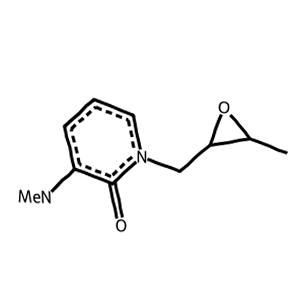 CNc1cccn(CC2OC2C)c1=O